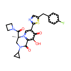 C[C@@]1(C(=O)N2CCC2)CN(C2CC2)C(=O)c2c(O)c(=O)c(-c3ncc(Cc4ccc(F)cc4)s3)cn21